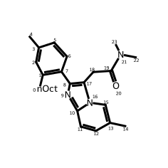 CCCCCCCCc1cc(C)ccc1-c1nc2ccc(C)cn2c1CC(=O)N(C)C